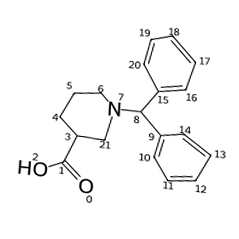 O=C(O)C1CCCN(C(c2ccccc2)c2ccccc2)C1